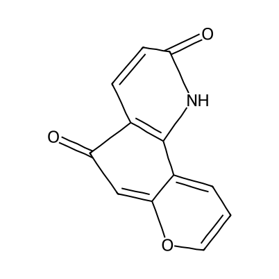 O=c1ccc2c(=O)cc3occcc-3c2[nH]1